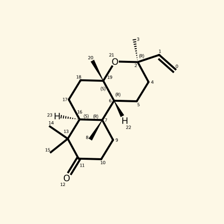 C=C[C@@]1(C)CC[C@@H]2[C@]3(C)CCC(=O)C(C)(C)[C@H]3CC[C@]2(C)O1